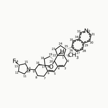 C[C@]12CC=C3C=C4CCC(N5CC[C@@H](F)C5)C[C@]45CC[C@]3(O5)[C@@H]1CC[C@@H]2c1ccc2ccncc2c1